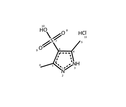 Cc1n[nH]c(C)c1S(=O)(=O)O.Cl